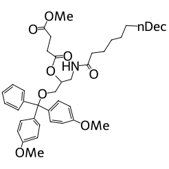 CCCCCCCCCCCCCCCC(=O)NCC(COC(c1ccccc1)(c1ccc(OC)cc1)c1ccc(OC)cc1)OC(=O)CCC(=O)OC